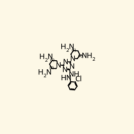 N[C@@H]1C[C@H](N)CN(c2nc(NNc3ccccc3Cl)nc(N3C[C@H](N)C[C@H](N)C3)n2)C1